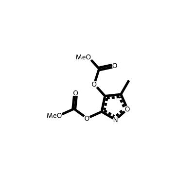 COC(=O)Oc1noc(C)c1OC(=O)OC